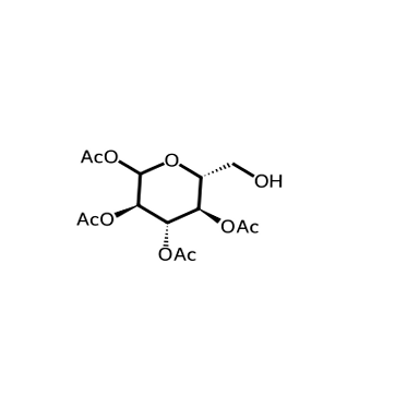 CC(=O)OC1O[C@H](CO)[C@@H](OC(C)=O)[C@H](OC(C)=O)[C@H]1OC(C)=O